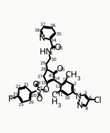 Cc1cc(-n2cc(Cl)cn2)cc(C)c1C1=C(OS(=O)(=O)c2ccc(F)cc2)CC(CCNC(=O)c2ccccn2)C1=O